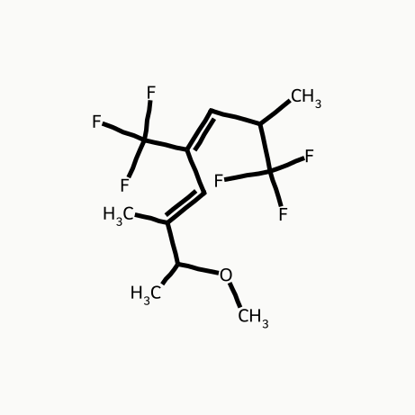 COC(C)/C(C)=C/C(=C\C(C)C(F)(F)F)C(F)(F)F